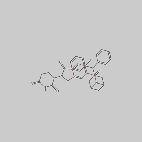 O=C1CCC(N2Cc3cc(C(=O)N4C5CC4CN(C(c4ccccc4)c4ccccc4)C5)c(F)cc3C2=O)C(=O)N1